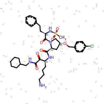 CS(=O)(=O)N[C@H](CCc1ccccc1)C(=O)N1C[C@H](OCc2ccc(Cl)cc2)C[C@H]1C(=O)N[C@@H](CCCCN)C(=O)C(=O)NCC1CCCCC1